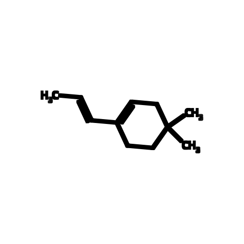 CC=CC1=CCC(C)(C)CC1